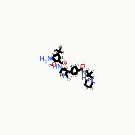 COc1c(N)cc(C(C)(C)C)cc1C(=O)Nc1cnc(C)c(-c2ccc(C(=O)NCC(C)(C)CN3CCCCC3)cc2)c1